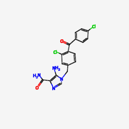 NC(=O)c1ncn(Cc2ccc(C(=O)c3ccc(Cl)cc3)c(Cl)c2)c1N